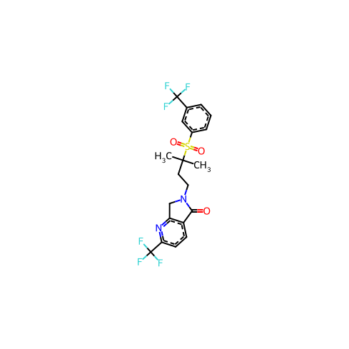 CC(C)(CCN1Cc2nc(C(F)(F)F)ccc2C1=O)S(=O)(=O)c1cccc(C(F)(F)F)c1